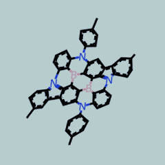 Cc1ccc(N2c3cccc4c3B3c5c2cc2c6cc(C)ccc6n6c2c5B2c5c(cccc5-6)N(c5ccc(C)cc5)c5cc6c7cc(C)ccc7n-4c6c3c52)cc1